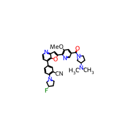 COc1cc(C(=O)N2CC[C@@H](N(C)C)C2)cnc1-c1cc2nccc(-c3ccc(N4CC[C@H](F)C4)c(C#N)c3)c2o1